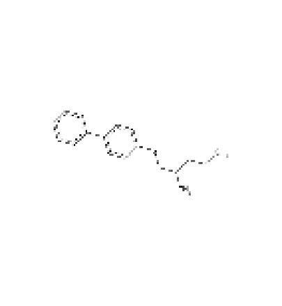 CCCC(C)CSc1ccc(-c2ccccc2)cc1